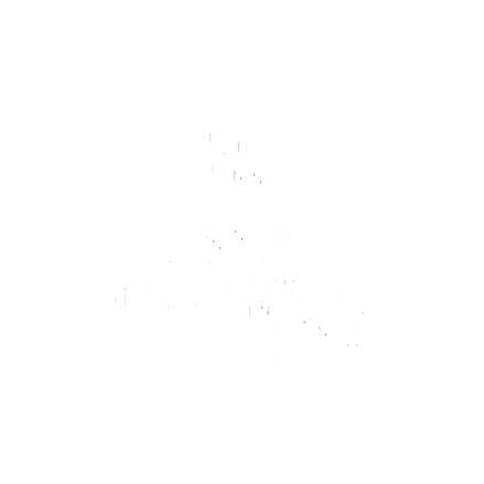 [2H]C([2H])([2H])n1cc(-n2nc(-c3ccc(Cl)cc3)cc(C(=O)N[C@@H](C)CNS(C)(=O)=O)c2=O)cn1